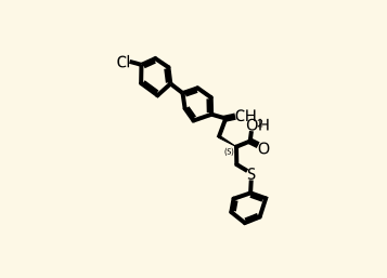 C=C(C[C@H](CSc1ccccc1)C(=O)O)c1ccc(-c2ccc(Cl)cc2)cc1